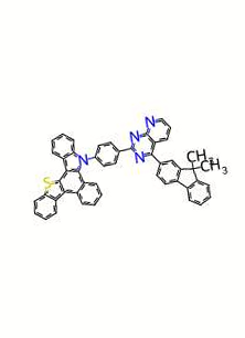 CC1(C)c2ccccc2-c2ccc(-c3nc(-c4ccc(-n5c6ccccc6c6c7sc8ccccc8c7c7ccccc7c65)cc4)nc4ncccc34)cc21